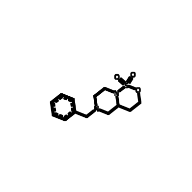 O=S1(=O)OCCC2CN(Cc3ccccc3)CCN21